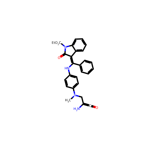 CCOC(=O)N1C(=O)/C(=C(\Nc2ccc(N(C)CC(N)=C=O)cc2)c2ccccc2)c2ccccc21